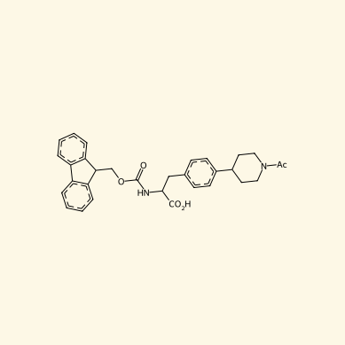 CC(=O)N1CCC(c2ccc(CC(NC(=O)OCC3c4ccccc4-c4ccccc43)C(=O)O)cc2)CC1